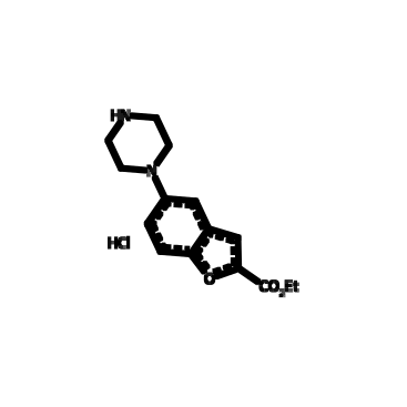 CCOC(=O)c1cc2cc(N3CCNCC3)ccc2o1.Cl